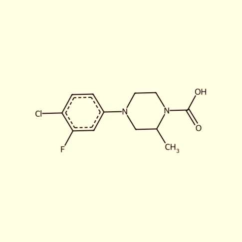 CC1CN(c2ccc(Cl)c(F)c2)CCN1C(=O)O